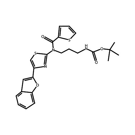 CC(C)(C)OC(=O)NCCCN(C(=O)c1cccs1)c1nc(-c2cc3ccccc3o2)cs1